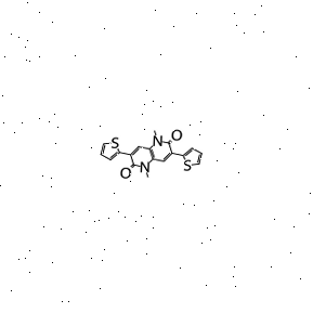 Cn1c(=O)c(-c2cccs2)cc2c1cc(-c1cccs1)c(=O)n2C